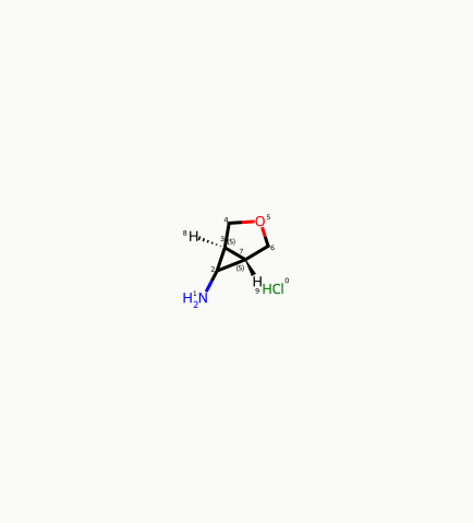 Cl.NC1[C@H]2COC[C@H]12